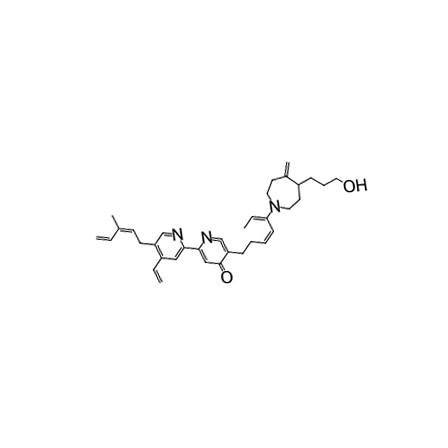 C=C/C(C)=C\Cc1cnc(C2=CC(=O)C(CC/C=C\C(=C/C)N3CCC(=C)C(CCCO)CC3)=C=N2)cc1C=C